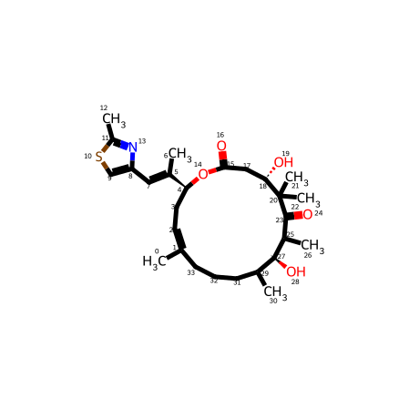 C/C1=C/C[C@@H](/C(C)=C/c2csc(C)n2)OC(=O)C[C@H](O)C(C)(C)C(=O)C(C)[C@@H](O)C(C)CCC1